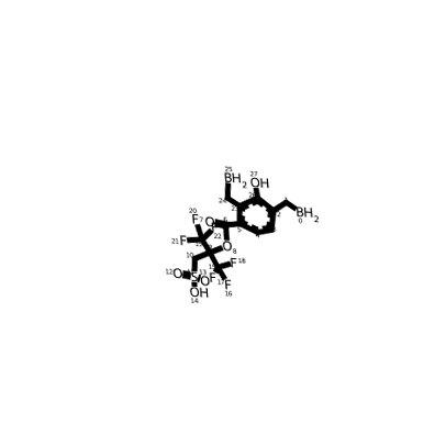 BCc1ccc(C(=O)OC(CS(=O)(=O)O)(C(F)(F)F)C(F)(F)F)c(CB)c1O